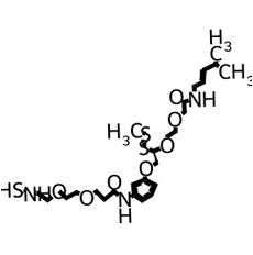 CSS[C@H](COc1cccc(NC(=O)CCOCCOCCNS)c1)OCCOCC(=O)NC/C=C/C(C)C